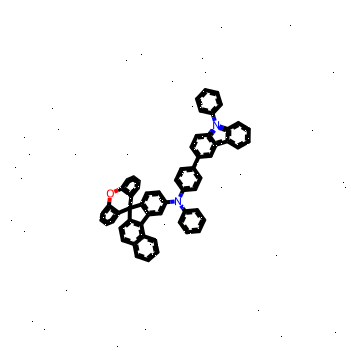 c1ccc(N(c2ccc(-c3ccc4c(c3)c3ccccc3n4-c3ccccc3)cc2)c2ccc3c(c2)-c2c(ccc4ccccc24)C32c3ccccc3Oc3ccccc32)cc1